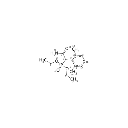 CCOP(=O)(OCC)C(C(N)=O)c1c(C)cccc1C